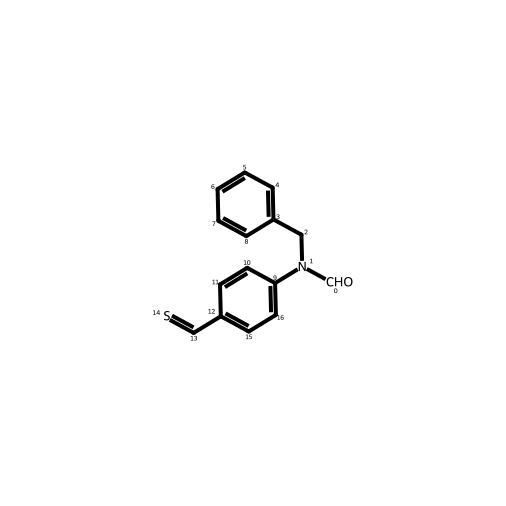 O=CN(Cc1ccccc1)c1ccc(C=S)cc1